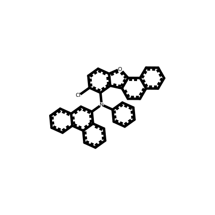 Clc1ccc2oc3c4ccccc4ccc3c2c1N(c1ccccc1)c1cc2ccccc2c2ccccc12